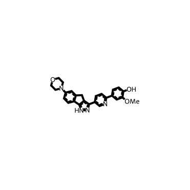 COc1cc(-c2ccc(-c3n[nH]c4c3Cc3cc(N5CCOCC5)ccc3-4)cn2)ccc1O